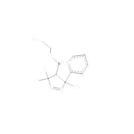 CCOC(=O)C1C(Cl)(I)N=NC1(C)c1ccccn1